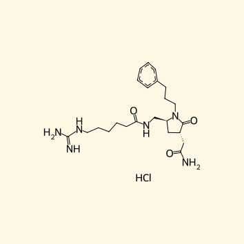 Cl.N=C(N)NCCCCCC(=O)NC[C@@H]1C[C@@H](CC(N)=O)C(=O)N1CCCc1ccccc1